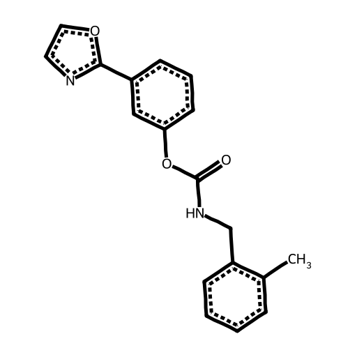 Cc1ccccc1CNC(=O)Oc1cccc(-c2ncco2)c1